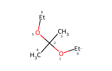 C[CH]OC(C)(C)OCC